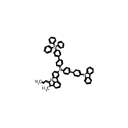 C=C/C=c1\c(=C)c2cccc3c4cc(N(c5ccc(-c6ccc([Si](c7ccccc7)(c7ccccc7)c7ccccc7)cc6)cc5)c5ccc(C6C=CC(n7c8ccccc8c8ccccc87)=CC6)cc5)ccc4n1c23